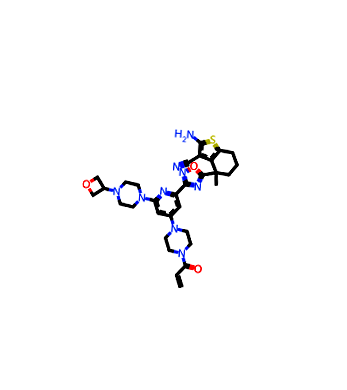 C=CC(=O)N1CCN(c2cc(-c3noc(C4(C)CCCc5sc(N)c(C#N)c54)n3)nc(N3CCN(C4COC4)CC3)c2)CC1